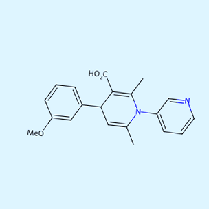 COc1cccc(C2C=C(C)N(c3cccnc3)C(C)=C2C(=O)O)c1